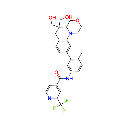 Cc1ccc(NC(=O)c2ccnc(C(F)(F)F)c2)cc1-c1ccc2c(c1)N1CCOCC1C(CO)(CO)C2